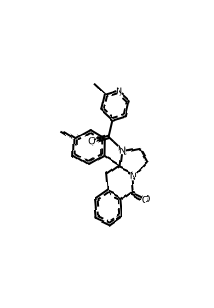 Cc1ccc(C23Cc4ccccc4C(=O)N2CCN3C(=O)c2ccnc(C)c2)cc1